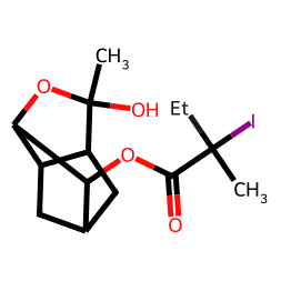 CCC(C)(I)C(=O)OC1C2CC3C1OC(C)(O)C3C2